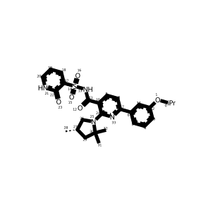 CC(C)Oc1cccc(-c2ccc(C(=O)NS(=O)(=O)c3ccc[nH]c3=O)c(N3C[C@@H](C)CC3(C)C)n2)c1